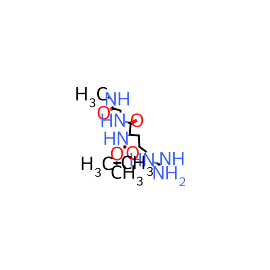 CNC(=O)CNC(=O)C(CCCNC(=N)N)NC(=O)OC(C)(C)C